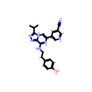 CC(C)c1nnc2c(NCCc3ccc(O)cc3)nc(-c3cncc(C#N)c3)cn12